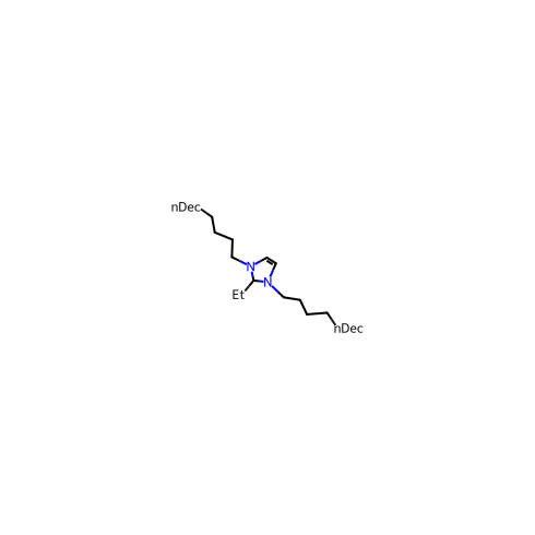 CCCCCCCCCCCCCCN1C=CN(CCCCCCCCCCCCCC)C1CC